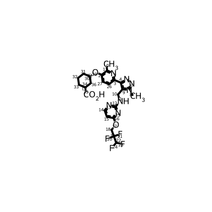 Cc1nc(-c2nnn(C)c2CNc2nccc(OCC(F)(F)C(F)F)n2)ccc1O[C@H]1CCC[C@H](C(=O)O)C1